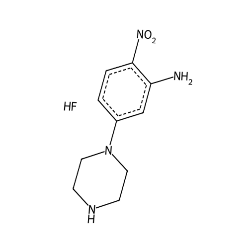 F.Nc1cc(N2CCNCC2)ccc1[N+](=O)[O-]